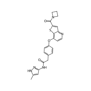 Cc1cc(NC(=O)Cc2ccc(Oc3ccnc4cc(C(=O)N5CCC5)sc34)cc2)n[nH]1